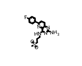 CS(=O)(=O)CCCNc1nc(N)nc2ccc(-c3ccc(F)cc3)nc12